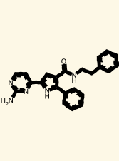 Nc1nccc(-c2cc(C(=O)NCCc3ccccc3)c(-c3ccccc3)[nH]2)n1